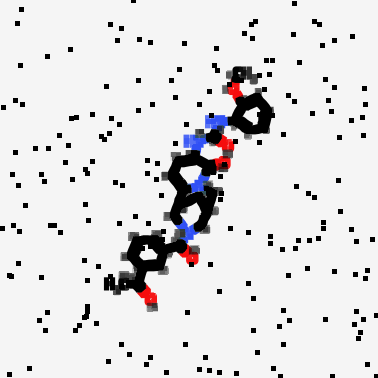 COc1ccccc1NC(=O)Nc1ccc2n(c1=O)CC1CC2CN(C(=O)c2cccc(C(C)=O)c2)C1